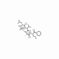 CC[C@H](C)[C@H](NC(=O)[C@H](C)N(C)C(=O)[C@@H](NC(=O)[C@H](CC(C)C)N(C)C(C)=O)C(C)C)C(=O)N1CCCCC1